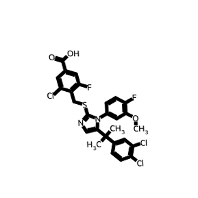 COc1cc(-n2c(C(C)(C)c3ccc(Cl)c(Cl)c3)cnc2SCc2c(F)cc(C(=O)O)cc2Cl)ccc1F